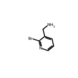 NCc1cccnc1Br